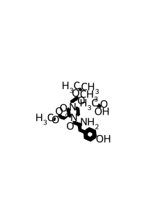 CC(=O)O.COC(=O)C[C@H]1C(=O)N(CC(=O)OC(C)(C)C)CCN1C(=O)[C@@H](N)Cc1ccc(O)cc1